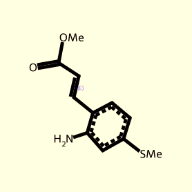 COC(=O)/C=C/c1ccc(SC)cc1N